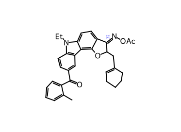 CCn1c2ccc(C(=O)c3ccccc3C)cc2c2c3c(ccc21)/C(=N/OC(C)=O)C(CC1=CCCCC1)O3